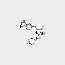 CN1CCC(NC2=N/C(=C\c3ccc4ncsc4c3)C(=O)N2)CC1